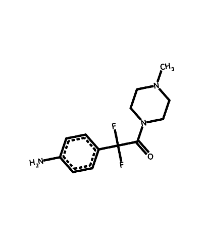 CN1CCN(C(=O)C(F)(F)c2ccc(N)cc2)CC1